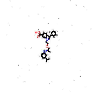 C=C(COCCn1cc(-c2ccccc2)c2ccc(C(=O)O)cc21)Nc1cccc(C(C)C)c1